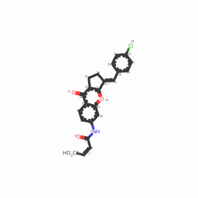 O=C(O)/C=C\C(=O)Nc1ccc2c(=O)c3c(oc2c1)/C(=C/c1ccc(Cl)cc1)CC3